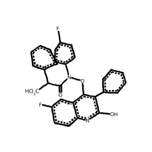 O=C(O)C(C(=O)N(Oc1c(-c2ccccc2)c(O)nc2ccc(F)cc12)c1ccc(F)cc1)c1ccccc1